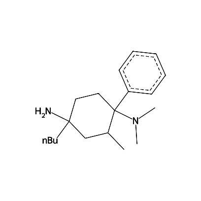 CCCCC1(N)CCC(c2ccccc2)(N(C)C)C(C)C1